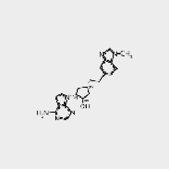 Cn1cnc2cc(CC[C@@H]3C[C@@H](O)[C@H](n4ccc5c(N)ncnc54)C3)ccc21